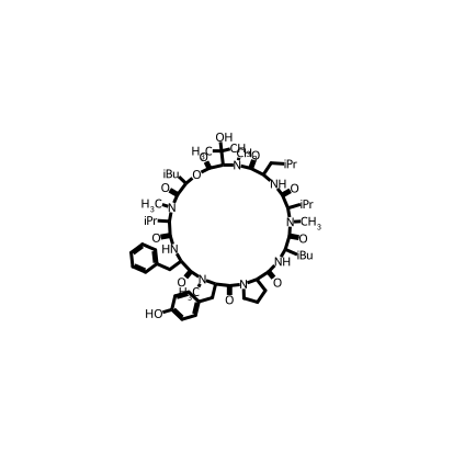 CCC(C)C1NC(=O)C2CCCN2C(=O)C(Cc2ccc(O)cc2)N(C)C(=O)C(Cc2ccccc2)NC(=O)C(C(C)C)N(C)C(=O)C(C(C)CC)OC(=O)C(C(C)(C)O)N(C)C(=O)C(CC(C)C)NC(=O)C(C(C)C)N(C)C1=O